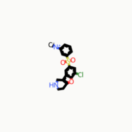 [C-]#[N+]c1cccc(S(=O)(=O)c2cc(Cl)c3oc4c(c3c2)CNCC4)c1